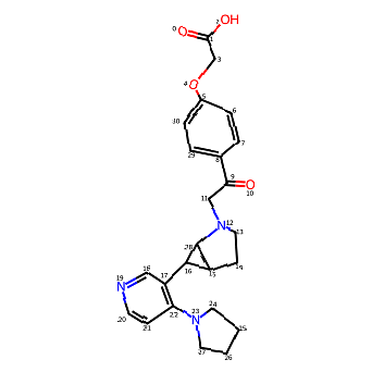 O=C(O)COc1ccc(C(=O)CN2CCC3C(c4cnccc4N4CCCC4)C32)cc1